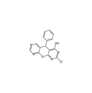 Oc1nc(Cl)nc2c1C(c1ccccc1)c1cncnc1O2